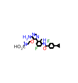 Cc1c(NC(=O)c2ccc(C3CC3)cc2F)cc(F)cc1-c1ncnc(N)c1OCCN(C)C(=O)O